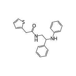 O=C(Cc1cccs1)NCC(Nc1ccccc1)c1ccccc1